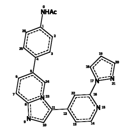 CC(=O)Nc1ccc(-c2ccc3ncc(-c4ccnc(-n5cccn5)c4)n3c2)cc1